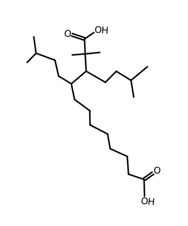 CC(C)CCC(CCCCCCCC(=O)O)C(CCC(C)C)C(C)(C)C(=O)O